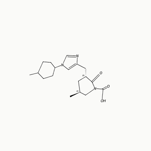 CC1CCC(n2cnc(C[C@H]3C[C@H](C)CN(C(=O)O)C3=O)c2)CC1